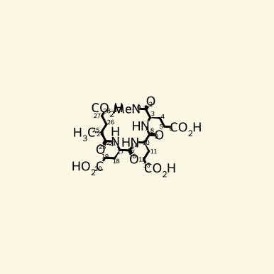 CNC(=O)[C@@H](CCC(=O)O)NC(=O)[C@@H](CCC(=O)O)NC(=O)[C@@H](CCC(=O)O)NC(=O)[C@H](C)CCC(=O)O